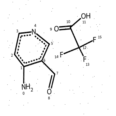 Nc1ccncc1C=O.O=C(O)C(F)(F)F